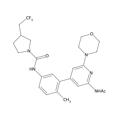 CC(=O)Nc1cc(-c2cc(NC(=O)N3CCC(CC(F)(F)F)C3)ccc2C)cc(N2CCOCC2)n1